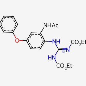 CCOC(=O)/N=C(/NC(=O)OCC)Nc1ccc(Oc2ccccc2)cc1NC(C)=O